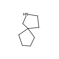 [CH]1CNCC12CCCC2